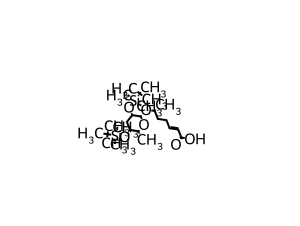 C[C@H](CC/C=C/C(=O)O)O[C@@H]1O[C@@H](C)[C@H](O[Si](C)(C)C(C)(C)C)C[C@H]1O[Si](C)(C)C(C)(C)C